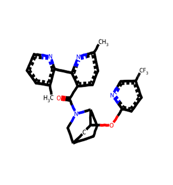 Cc1ccc(C(=O)N2CC3CCC2C(Oc2ccc(C(F)(F)F)cn2)C3)c(-c2ncccc2C)n1